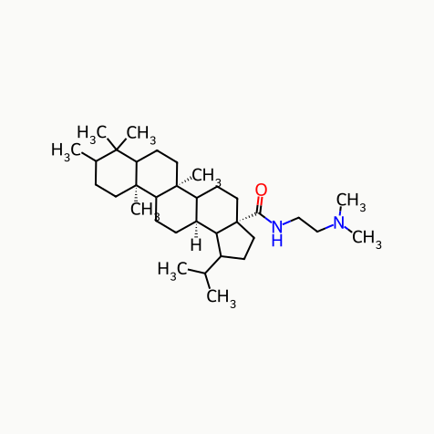 CC(C)C1CC[C@]2(C(=O)NCCN(C)C)CCC3[C@H](CCC4[C@@]3(C)CCC3C(C)(C)C(C)CC[C@@]34C)C12